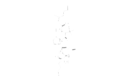 C=C[C@@H]1C[C@]1(NC(=O)[C@@H]1CCCN1C(=O)C(NC(=O)OC(C)CCCC)C(C)(C)C)P(=O)(O)CCCC